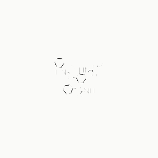 CCOC(=O)Nc1cccc(OC(=O)Nc2ccccc2)c1.NC(=O)Oc1ccccc1